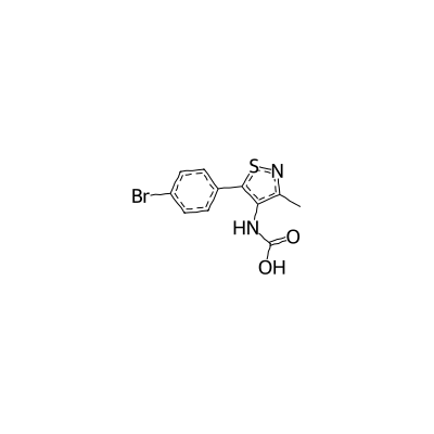 Cc1nsc(-c2ccc(Br)cc2)c1NC(=O)O